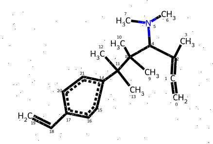 C=C=C(C)C(N(C)C)C(C)(C)C(C)(C)c1ccc(C=C)cc1